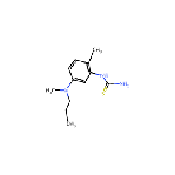 CCCN(C)c1ccc(C)c(NC(N)=S)c1